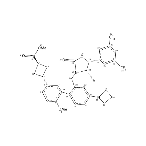 COc1ccc([C@H]2C[C@H](C(=O)OC)C2)cc1-c1ccc(N2CCC2)nc1CN1C(=O)O[C@H](c2cc(C(F)(F)F)cc(C(F)(F)F)c2)[C@@H]1C